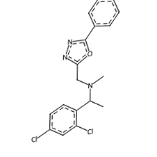 CC(c1ccc(Cl)cc1Cl)N(C)Cc1nnc(-c2ccccc2)o1